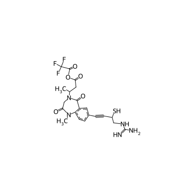 CC(CC(=O)OC(=O)C(F)(F)F)N1CC(=O)N(C)c2ccc(C#CC(S)CNC(=N)N)cc2C1=O